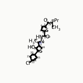 CCCN(C)C(=O)c1ccc(C(=O)N/N=C(\C)c2csc(-c3ccc(Cl)cc3)c2O)s1